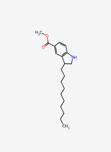 CCCCCCCCCCC1CNc2ccc(C(=O)OC)cc21